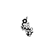 CC1COC(C)(C)c2nc(-c3nnc(Cc4ccc(F)cc4)o3)c(O)c(=O)n21